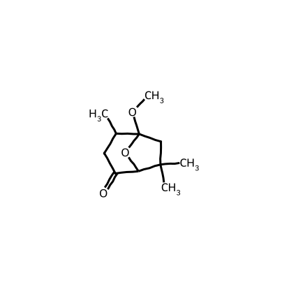 COC12CC(C)(C)C(O1)C(=O)CC2C